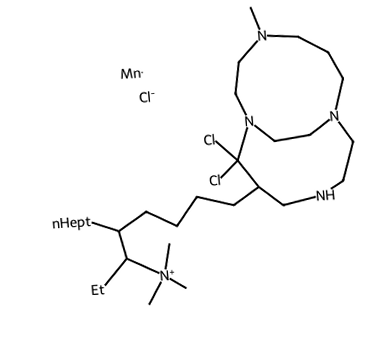 CCCCCCCC(CCCCC1CNCCN2CCCN(C)CCN(CC2)C1(Cl)Cl)C(CC)[N+](C)(C)C.[Cl-].[Mn]